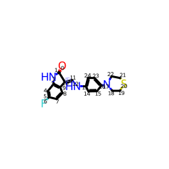 O=C1Nc2cc(F)ccc2/C1=C\Nc1ccc(N2CCSCC2)cc1